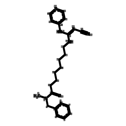 CN(Cc1ccccn1)C(=O)CCCCCCCN/C(=N\C#N)Nc1ccncc1